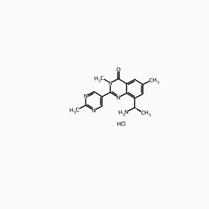 Cc1cc([C@@H](C)N)c2nc(-c3cnc(C)nc3)n(C)c(=O)c2c1.Cl